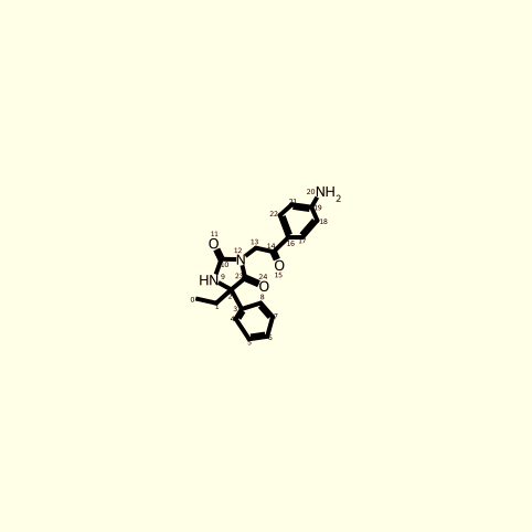 CCC1(c2ccccc2)NC(=O)N(CC(=O)c2ccc(N)cc2)C1=O